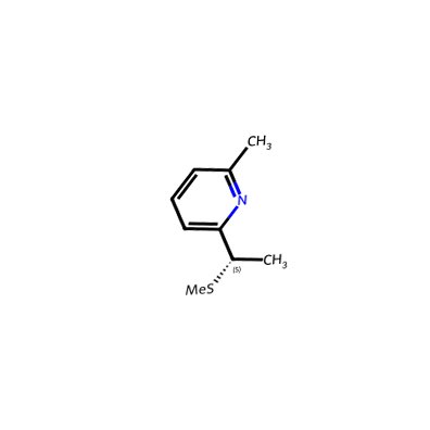 CS[C@@H](C)c1cccc(C)n1